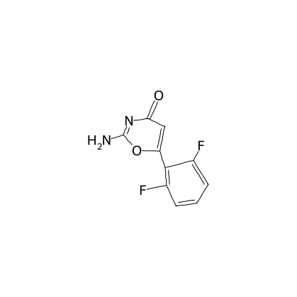 Nc1nc(=O)cc(-c2c(F)cccc2F)o1